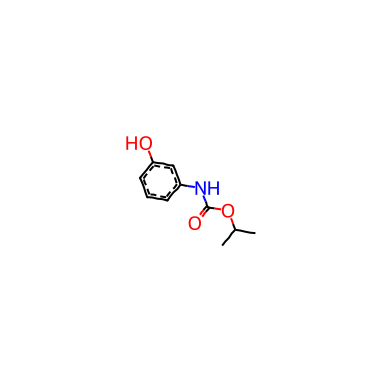 CC(C)OC(=O)Nc1cccc(O)c1